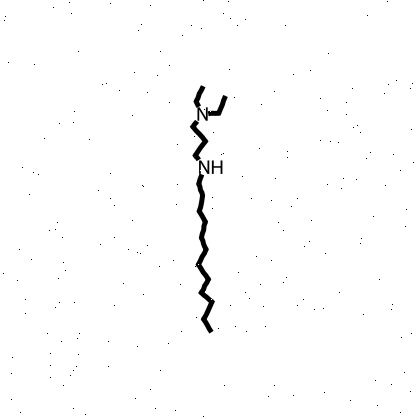 CCCCCCCCCCCCNCCCN(CC)CC